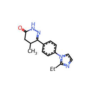 CCc1nccn1-c1ccc(C2=NNC(=O)CC2C)cc1